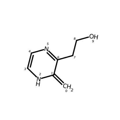 C=C1NC=CN=C1CCO